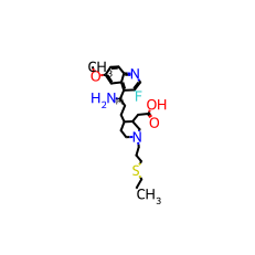 CCCSCCCN1CCC(CC[C@@H](N)c2c(F)cnc3ccc(OC)cc23)C(CC(=O)O)C1